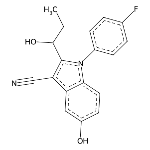 CCC(O)c1c(C#N)c2cc(O)ccc2n1-c1ccc(F)cc1